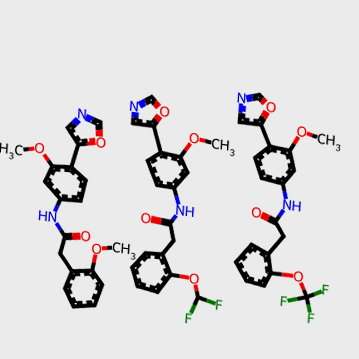 COc1cc(NC(=O)Cc2ccccc2OC(F)(F)F)ccc1-c1cnco1.COc1cc(NC(=O)Cc2ccccc2OC(F)F)ccc1-c1cnco1.COc1ccccc1CC(=O)Nc1ccc(-c2cnco2)c(OC)c1